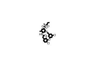 CCC(=O)N(C)S(=O)(=O)c1ccc(NC(=O)Cc2ccc(Cl)c(Oc3cc(Cl)cc(C#N)c3)c2F)c(C)c1